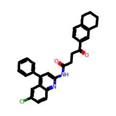 O=C(CCC(=O)c1ccc2c(c1)CCCC2)Nc1cc(-c2ccccc2)c2cc(Cl)ccc2n1